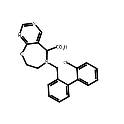 O=C(O)C1c2cncnc2OCCN1Cc1ccccc1-c1ccccc1Cl